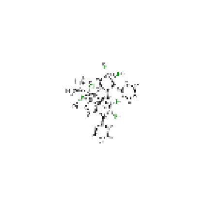 CC(C)C1=Cc2c(cc(F)c(F)c2-c2ccccc2)[CH]1[Zr]([Cl])([Cl])([CH]1C(C(C)C)=Cc2c1cc(F)c(F)c2-c1ccccc1)[SiH](C)C